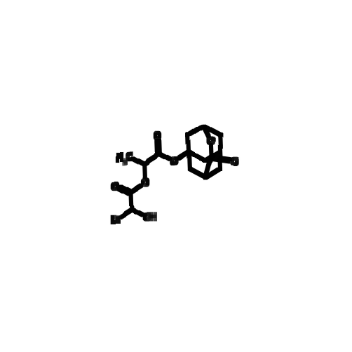 CCC(O)C(=O)OC(C)C(=O)OC12CC3CC(C1)OC(=O)C(C3)C2